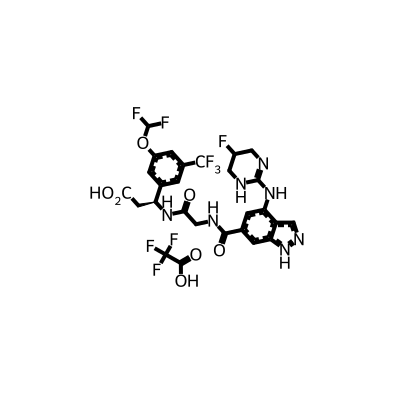 O=C(O)C(F)(F)F.O=C(O)C[C@H](NC(=O)CNC(=O)c1cc(NC2=NCC(F)CN2)c2cn[nH]c2c1)c1cc(OC(F)F)cc(C(F)(F)F)c1